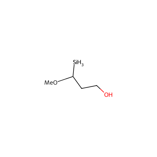 COC([SiH3])CCO